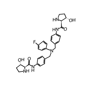 O=C(Nc1ccc(CN(Cc2ccc(NC(=O)[C@H]3NCC[C@@H]3O)cc2)c2ccc(F)cc2)cc1)[C@H]1NCC[C@@H]1O